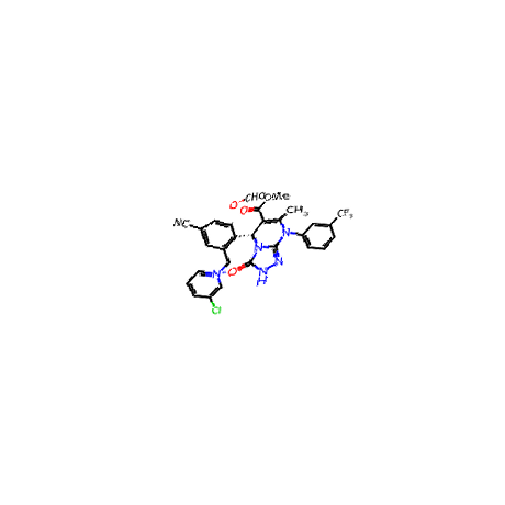 COC(=O)C1=C(C)N(c2cccc(C(F)(F)F)c2)c2n[nH]c(=O)n2[C@@H]1c1ccc(C#N)cc1C[n+]1cccc(Cl)c1.O=C[O-]